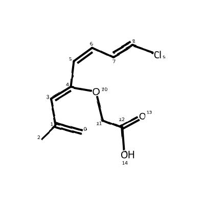 C=C(C)C=C(/C=C\C=C\Cl)OCC(=O)O